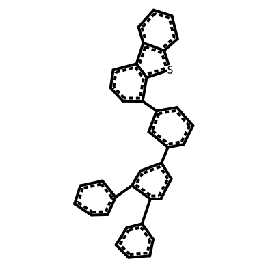 c1ccc(-c2ccc(-c3cccc(-c4cccc5c4sc4ccccc45)c3)cc2-c2ccccc2)cc1